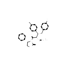 [N-]=[N+]=N[C@@H](C(=O)N1C(=O)OC[C@@H]1c1ccccc1)[C@H](Cc1ccc(F)cc1)c1ccc(Cl)cc1